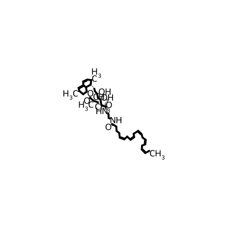 CC/C=C\C/C=C\C/C=C\C/C=C\C/C=C\CCCC(=O)NCCNC(=O)C[C@H](O)C[C@@H](O)CC[C@@H]1C2C(=C[C@H](C)CC2OC(=O)C(C)(C)CC)C=C[C@@H]1C